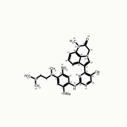 COc1cc(N(C)CCN(C)C)c([N+](=O)[O-])cc1Nc1ncc(C#N)c(-c2cn3c4c(cccc24)N(C)C(=O)C3)n1